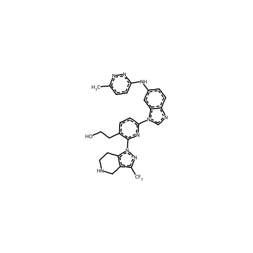 Cc1ccc(Nc2ccc3ncn(-c4ccc(CCO)c(-n5nc(C(F)(F)F)c6c5CCNC6)n4)c3c2)nn1